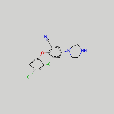 N#Cc1cc(N2CCNCC2)ccc1Oc1ccc(Cl)cc1Cl